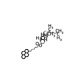 CC(C)CCC[C@@H](C)[C@H]1CC[C@H]2[C@@H]3CC=C4C[C@H](OC(=O)CCCCCc5ccc6ccc7cccc8ccc5c6c78)CC[C@]4(C)[C@H]3CC[C@]12C